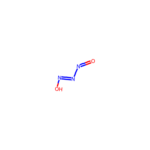 O=NN=NO